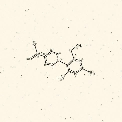 CCc1nc(N)nc(N)c1-c1ccc([N+](=O)[O-])cc1